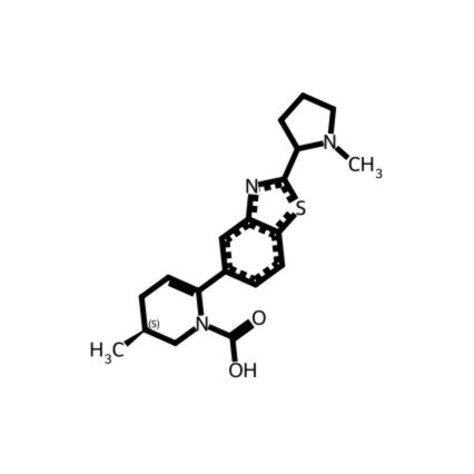 C[C@H]1CC=C(c2ccc3sc(C4CCCN4C)nc3c2)N(C(=O)O)C1